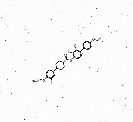 C=CCOc1ccc(C2CCC(C(=O)Oc3ccc(-c4ccc(OCC)cc4)c(F)c3F)CC2)cc1F